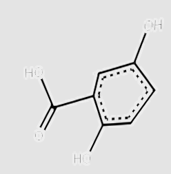 O=C(O)c1[c]c(O)ccc1O